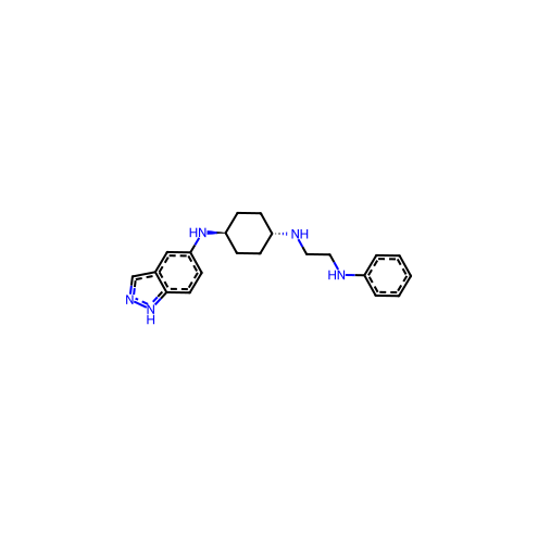 c1ccc(NCCN[C@H]2CC[C@H](Nc3ccc4[nH]ncc4c3)CC2)cc1